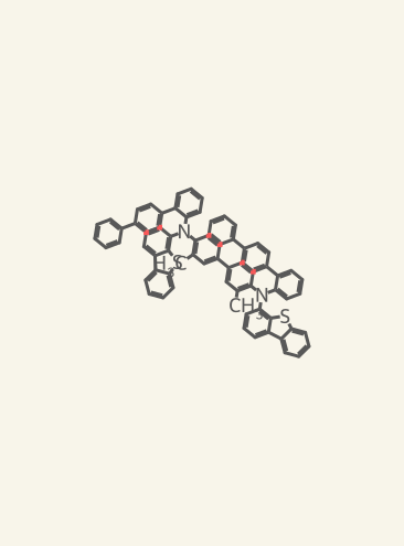 Cc1cc(-c2ccc(N(c3ccccc3-c3ccc(-c4ccccc4)cc3)c3cccc4c3sc3ccccc34)c(C)c2)ccc1N(c1ccccc1-c1ccc(-c2ccccc2)cc1)c1cccc2c1sc1ccccc12